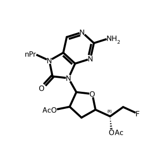 CCCn1c(=O)n(C2OC([C@H](CF)OC(C)=O)CC2OC(C)=O)c2nc(N)ncc21